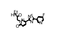 CCNC(=O)Cn1nc(-c2nsc(-c3cncc(F)c3)n2)ccc1=O